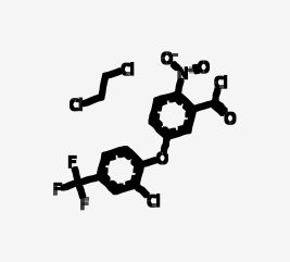 ClCCCl.O=C(Cl)c1cc(Oc2ccc(C(F)(F)F)cc2Cl)ccc1[N+](=O)[O-]